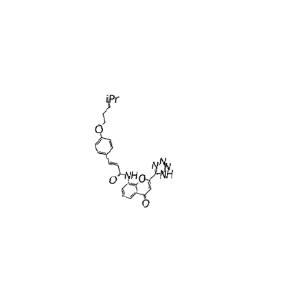 CC(C)CCCOc1ccc(C=CC(=O)Nc2cccc3c(=O)cc(-c4nnn[nH]4)oc23)cc1